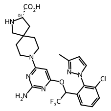 Cc1ccn(-c2c(Cl)cccc2C(Oc2cc(N3CCC4(CC3)CN[C@H](C(=O)O)C4)nc(N)n2)C(F)(F)F)n1